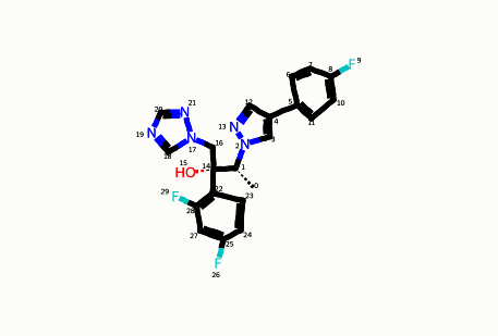 C[C@@H](n1cc(-c2ccc(F)cc2)cn1)[C@](O)(Cn1cncn1)c1ccc(F)cc1F